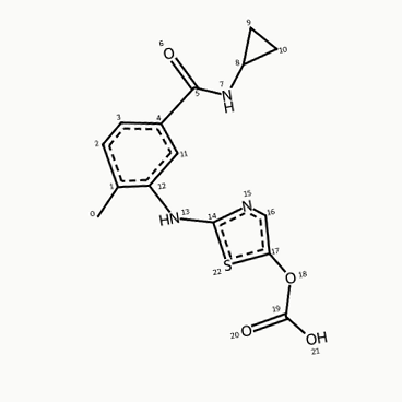 Cc1ccc(C(=O)NC2CC2)cc1Nc1ncc(OC(=O)O)s1